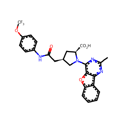 Cc1nc(N2C[C@@H](CC(=O)Nc3ccc(OC(F)(F)F)cc3)C[C@H]2C(=O)O)c2oc3ccccc3c2n1